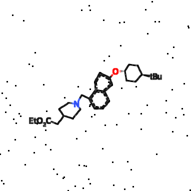 CCOC(=O)CC1CCN(Cc2cccc3cc(O[C@H]4CC[C@H](C(C)(C)C)CC4)ccc23)CC1